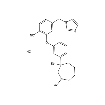 CCC1(c2cccc(Oc3cc(Cn4ccnc4)ccc3C#N)c2)CCCCN(C(C)=O)C1.Cl